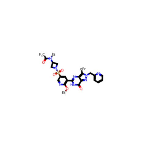 CCCc1c2nc(-c3cc(S(=O)(=O)N4CC(N(CC)C(=O)C(F)(F)F)C4)cnc3OCC)[nH]c(=O)c2nn1Cc1ccccn1